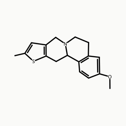 COc1ccc2c(c1)CCN1Cc3cc(C)sc3CC21